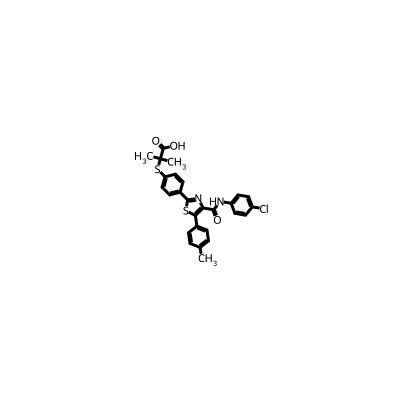 Cc1ccc(-c2sc(-c3ccc(SC(C)(C)C(=O)O)cc3)nc2C(=O)Nc2ccc(Cl)cc2)cc1